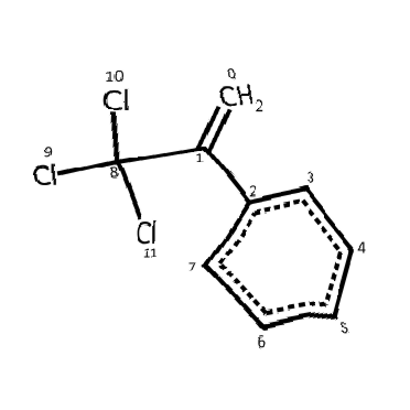 C=C(c1ccccc1)C(Cl)(Cl)Cl